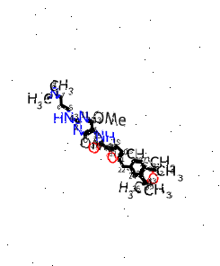 COc1nc(NCCCN(C)C)nc(OC)c1NC(=O)c1ccc(Cc2cc3c(cc2C)C(C)(C)OC3(C)C)o1